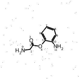 NCC(=O)Oc1ccccc1N